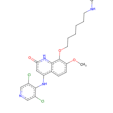 COc1ccc2c(Nc3c(Cl)cncc3Cl)cc(=O)[nH]c2c1OCCCCCCNC(=N)N